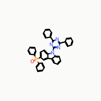 O=P(c1ccccc1)(c1ccccc1)c1ccc2c(c1)c1ccccc1n2-c1nc(-c2ccccc2)nc(-c2ccccc2)n1